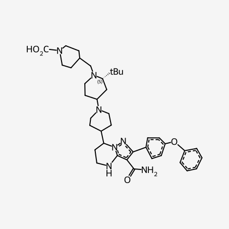 CC(C)(C)[C@@H]1CC(N2CCC(C3CCNc4c(C(N)=O)c(-c5ccc(Oc6ccccc6)cc5)nn43)CC2)CCN1CC1CCN(C(=O)O)CC1